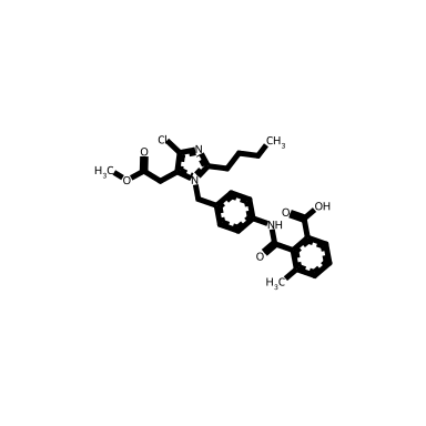 CCCCc1nc(Cl)c(CC(=O)OC)n1Cc1ccc(NC(=O)c2c(C)cccc2C(=O)O)cc1